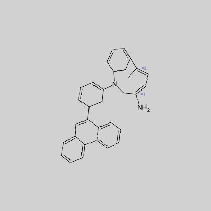 C/C1=C\C=C(\N)CN(C2=CC=CC(c3cc4ccccc4c4ccccc34)C2)C2C=CC=C1C2